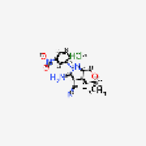 CC1(C)C=C2C(=NN(c3cccc([N+](=O)[O-])c3)C(N)=C2C#N)CO1.Cl